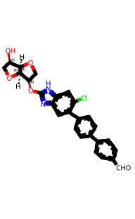 O=Cc1ccc(-c2ccc(-c3cc4nc(O[C@@H]5CO[C@H]6[C@@H]5OC[C@H]6O)[nH]c4cc3Cl)cc2)cc1